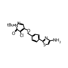 CC(C)(C)n1ncc(OCc2ccc(-c3nc(N)cs3)cc2)c(Cl)c1=O